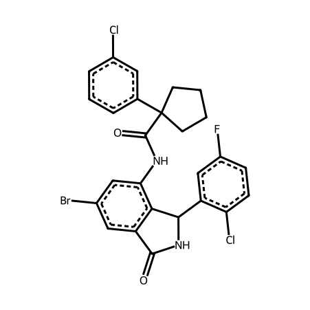 O=C1NC(c2cc(F)ccc2Cl)c2c(NC(=O)C3(c4cccc(Cl)c4)CCCC3)cc(Br)cc21